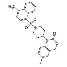 Cc1ccc(S(=O)(=O)N2CCC(N3C(=O)OCc4cc(F)ccc43)CC2)c2ccccc12